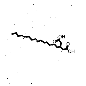 CCCCCCCCCCCCCCCC(CC(=O)O)CC(=O)O